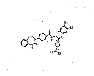 CCc1ccc(C[C@@H](NC(=O)N2CCC(N3CCc4ccccc4NC3=O)CC2)C(=O)N2CC(N(CC)CC)C2)cc1CC